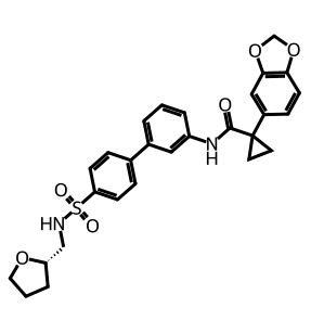 O=C(Nc1cccc(-c2ccc(S(=O)(=O)NC[C@@H]3CCCO3)cc2)c1)C1(c2ccc3c(c2)OCO3)CC1